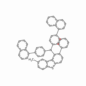 Cc1ccc2sc3ccc(-c4ccccc4)c(N(c4ccc(-c5cccc6ccccc56)cc4)c4ccc(-c5cccc6ccccc56)cc4)c3c2c1